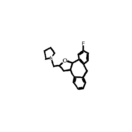 Fc1ccc2c(c1)C1OC(CN3CCCC3)CC1c1ccccc1C2